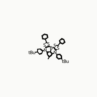 Cc1cc2c3c(c1)N(c1ccc(C(C)(C)C)cc1)C1=C(SC(c4ccccc4)S1)B3C1=C(SC(c3ccccc3)S1)N2C1=CCC(C(C)(C)C)C=C1